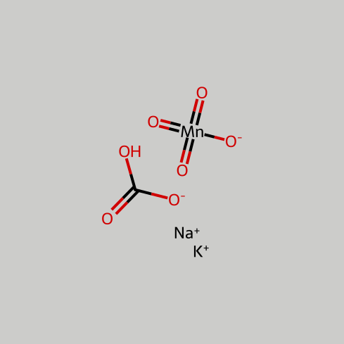 O=C([O-])O.[K+].[Na+].[O]=[Mn](=[O])(=[O])[O-]